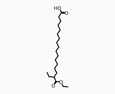 CCOC(=O)C(CC)CCCCCCCCCCCCCCC(=O)O